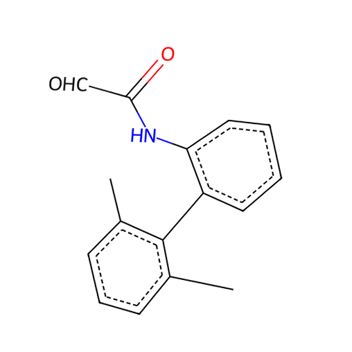 Cc1cccc(C)c1-c1ccccc1NC(=O)C=O